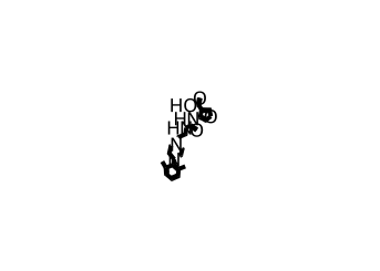 Cc1cccc(C)c1N1CCN(CCNC(=O)Nc2cocc2C(=O)O)CC1